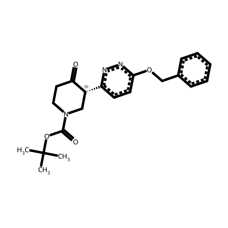 CC(C)(C)OC(=O)N1CCC(=O)[C@H](c2ccc(OCc3ccccc3)nn2)C1